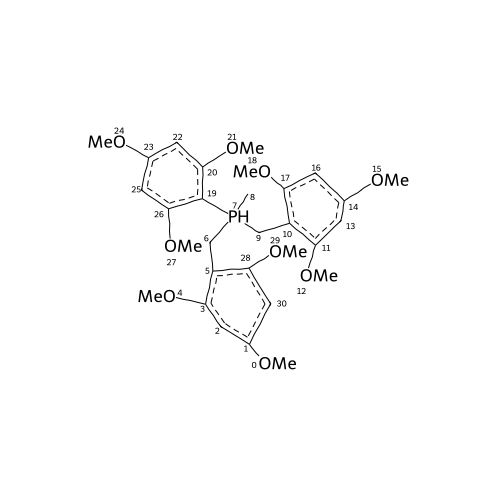 COc1cc(OC)c(C[PH](C)(Cc2c(OC)cc(OC)cc2OC)c2c(OC)cc(OC)cc2OC)c(OC)c1